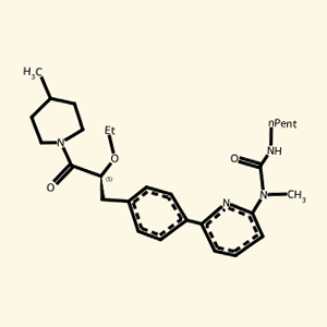 CCCCCNC(=O)N(C)c1cccc(-c2ccc(C[C@H](OCC)C(=O)N3CCC(C)CC3)cc2)n1